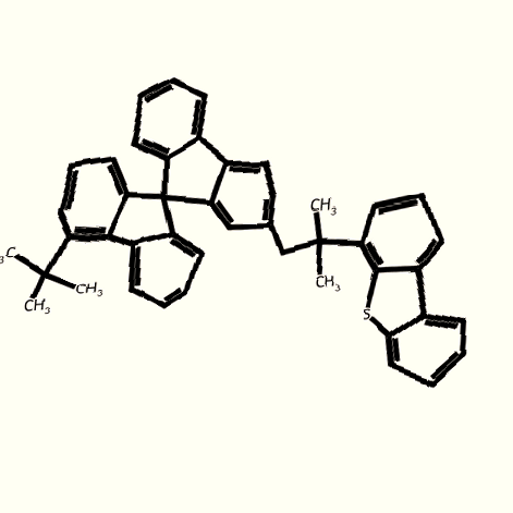 CC(C)(C)c1cccc2c1-c1ccccc1C21c2ccccc2-c2ccc(CC(C)(C)c3cccc4c3sc3ccccc34)cc21